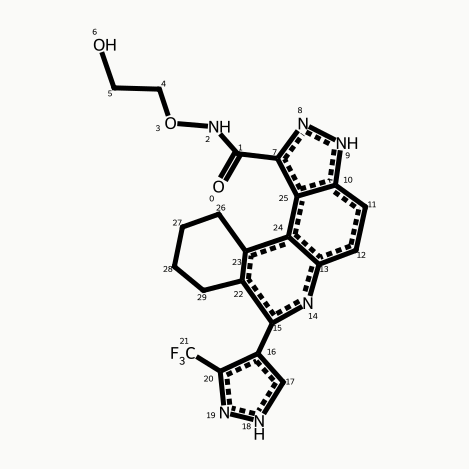 O=C(NOCCO)c1n[nH]c2ccc3nc(-c4c[nH]nc4C(F)(F)F)c4c(c3c12)CCCC4